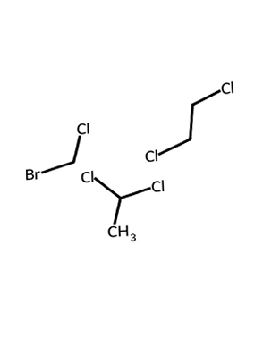 CC(Cl)Cl.ClCBr.ClCCCl